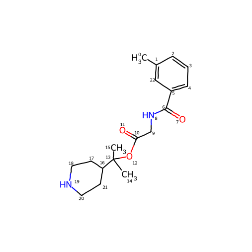 Cc1cccc(C(=O)NCC(=O)OC(C)(C)C2CCNCC2)c1